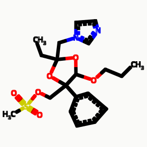 CCCOC1OC(CC)(Cn2ccnc2)OC1(COS(C)(=O)=O)c1ccccc1